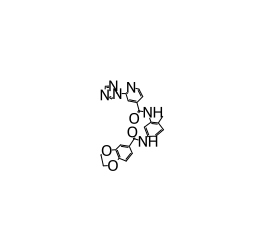 Cc1ccc(NC(=O)c2ccc3c(c2)OCCO3)cc1NC(=O)c1ccnc(-n2cncn2)c1